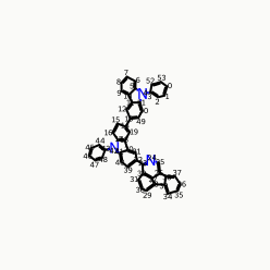 c1ccc(-n2c3ccccc3c3cc(-c4ccc5c(c4)c4cc(-c6ncc7c8c(cccc68)-c6ccccc6-7)ccc4n5-c4ccccc4)ccc32)cc1